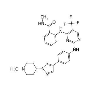 CNC(=O)c1ccccc1Nc1nc(Nc2ccc(-c3cnn(C4CCN(C)CC4)c3)cc2)ncc1C(F)(F)F